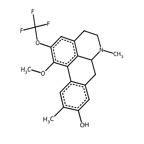 COc1c(OC(F)(F)F)cc2c3c1-c1cc(C)c(O)cc1CC3N(C)CC2